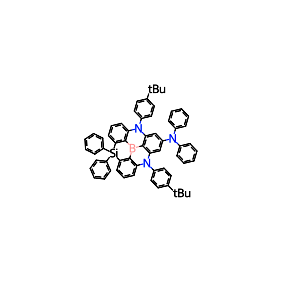 CC(C)(C)c1ccc(N2c3cc(N(c4ccccc4)c4ccccc4)cc4c3B3c5c2cccc5[Si](c2ccccc2)(c2ccccc2)c2cccc(c23)N4c2ccc(C(C)(C)C)cc2)cc1